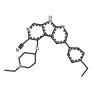 CCc1ccc(-c2cnc3[nH]c4cnc(C#N)c(OC5CCN(CC)CC5)c4c3c2)cc1